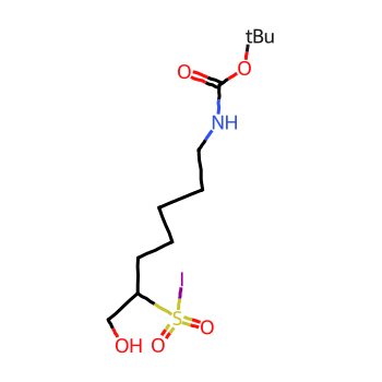 CC(C)(C)OC(=O)NCCCCCC(CO)S(=O)(=O)I